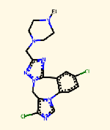 CCN1CCN(Cc2nc3n(n2)Cc2c(Cl)ncn2-c2ccc(Cl)cc2-3)CC1